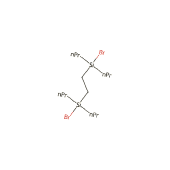 CCC[Si](Br)(CCC)CC[Si](Br)(CCC)CCC